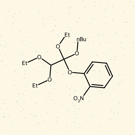 CCCCOC(OCC)(Oc1ccccc1[N+](=O)[O-])C(OCC)OCC